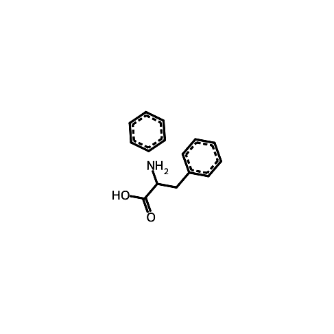 NC(Cc1ccccc1)C(=O)O.c1ccccc1